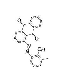 Cc1cccc(N=Nc2cccc3c2C(=O)c2ccccc2C3=O)c1O